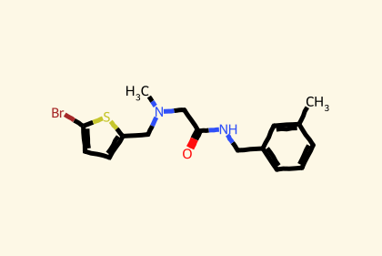 Cc1cccc(CNC(=O)CN(C)Cc2ccc(Br)s2)c1